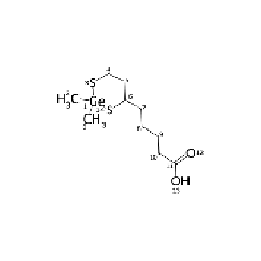 [CH3][Ge]1([CH3])[S]CCC(CCCCC(=O)O)[S]1